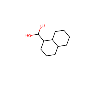 OC(O)C1CCCC2CCCCC21